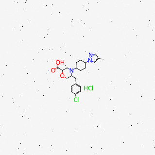 Cc1cnn(C2CCC(N3C[C@H](C(=O)O)OC[C@@H]3Cc3ccc(Cl)cc3)CC2)c1.Cl